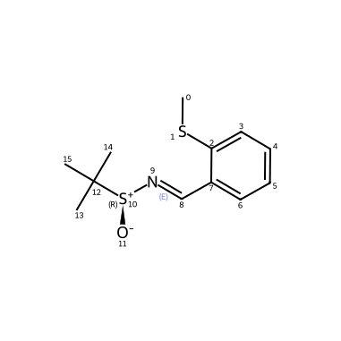 CSc1ccccc1/C=N/[S@@+]([O-])C(C)(C)C